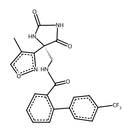 Cc1conc1[C@@]1(CNC(=O)c2ccccc2-c2ccc(C(F)(F)F)cc2)NC(=O)NC1=O